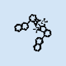 CC1=C2c3c(-c4ccc5ccccc5c4)cccc3[CH]1[Zr]([CH3])([CH3])[CH]1C(C)=C(c3c(-c4ccc5ccccc5c4)cccc31)[Si]2(C)C